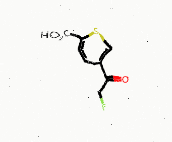 O=C(CF)c1csc(C(=O)O)c1